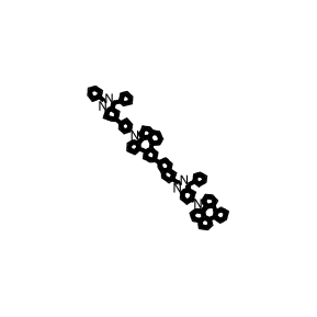 c1ccc(-c2nc(-c3ccccc3)c3cc(-c4ccc(-n5c6cccc7c6c6c8c(cccc8ccc65)-c5cc(-c6ccc8cc(-c9nc(-c%10ccccc%10)c%10cc(-n%11c%12cccc%13c%12c%12c%14c(cccc%14ccc%12%11)-c%11ccccc%11-%13)ccc%10n9)ccc8c6)ccc5-7)cc4)ccc3n2)cc1